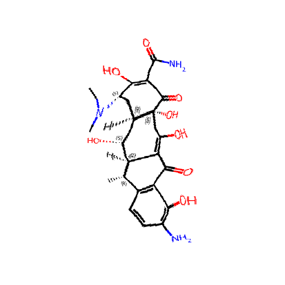 C[C@H]1c2ccc(N)c(O)c2C(=O)C2=C(O)[C@]3(O)C(=O)C(C(N)=O)=C(O)[C@@H](N(C)C)[C@@H]3[C@@H](O)[C@@H]21